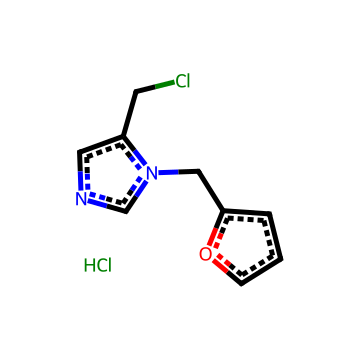 Cl.ClCc1cncn1Cc1ccco1